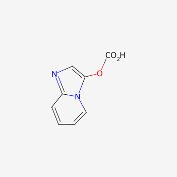 O=C(O)Oc1cnc2ccccn12